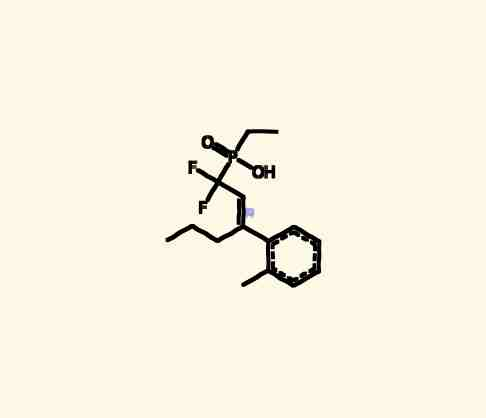 CCC/C(=C\C(F)(F)P(=O)(O)CC)c1ccccc1C